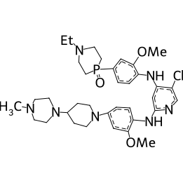 CCN1CCP(=O)(c2ccc(Nc3cc(Nc4ccc(N5CCC(N6CCN(C)CC6)CC5)cc4OC)ncc3Cl)c(OC)c2)CC1